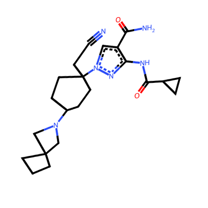 N#CCC1(n2cc(C(N)=O)c(NC(=O)C3CC3)n2)CCC(N2CC3(CCC3)C2)CC1